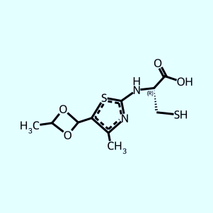 Cc1nc(N[C@@H](CS)C(=O)O)sc1C1OC(C)O1